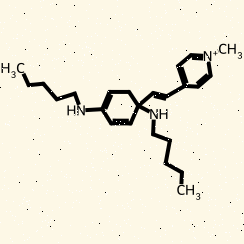 CCCCCNC1=CCC(C=Cc2cc[n+](C)cc2)(NCCCCC)C=C1